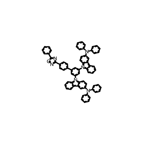 c1ccc(-c2nc(-c3ccc(-c4cc(-n5c6ccccc6c6cc(N(c7ccccc7)c7ccccc7)ccc65)cc(-n5c6ccccc6c6cc(N(c7ccccc7)c7ccccc7)ccc65)c4)cc3)no2)cc1